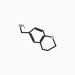 NCc1ccc2c(c1)CCCO2